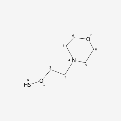 SOCCN1CCOCC1